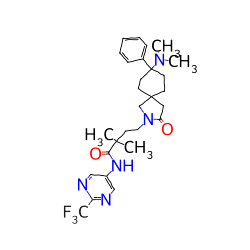 CN(C)C1(c2ccccc2)CCC2(CC1)CC(=O)N(CCC(C)(C)C(=O)Nc1cnc(C(F)(F)F)nc1)C2